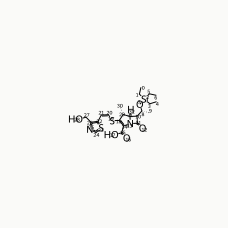 CC[Si](CC)(CC)O[C@H](C)[C@H]1C(=O)N2C(C(=O)O)=C(S/C=C\c3scnc3CO)[C@H](C)[C@H]12